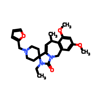 CCN1C(=O)N2Cc3cc(OC)cc(OC)c3C(C)C=C2C12CCN(Cc1ccco1)CC2